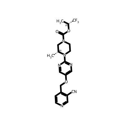 C[C@@H]1CN(C(=O)O[C@H](C)C(F)(F)F)CCN1c1ncc(OCc2ccncc2C#N)cn1